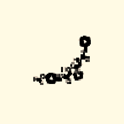 O=C(NCC(=O)N1CCC[C@H]1C(O)C(=O)NCc1ccc(OC(F)F)cc1)OCc1ccccc1